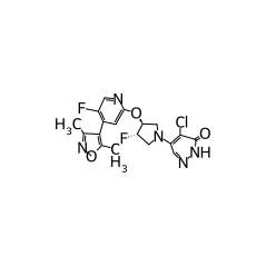 Cc1noc(C)c1-c1cc(O[C@H]2CN(c3cn[nH]c(=O)c3Cl)C[C@@H]2F)ncc1F